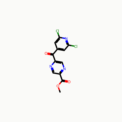 COC(=O)c1cnc(C(=O)c2cc(Cl)nc(Cl)c2)cn1